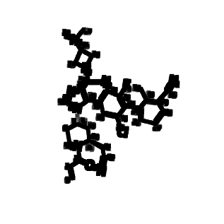 C=CC(=O)N1CC[C@H](n2nnc3c(N4CC(N(C)C)C4)nc4c(F)c(-c5cccc(C#N)c5C)c(Cl)cc4c32)C[C@H]1CC#N